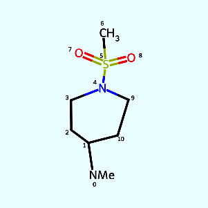 [CH2-][NH2+]C1CCN(S(C)(=O)=O)CC1